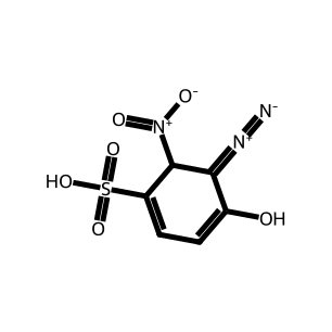 [N-]=[N+]=C1C(O)=CC=C(S(=O)(=O)O)C1[N+](=O)[O-]